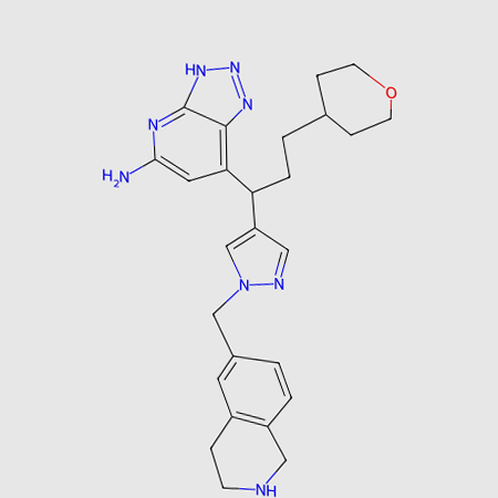 Nc1cc(C(CCC2CCOCC2)c2cnn(Cc3ccc4c(c3)CCNC4)c2)c2nn[nH]c2n1